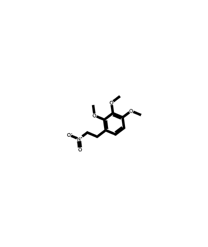 COc1ccc(CC[N+](=O)[O-])c(OC)c1OC